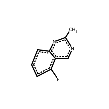 Cc1ncc2c(F)cccc2n1